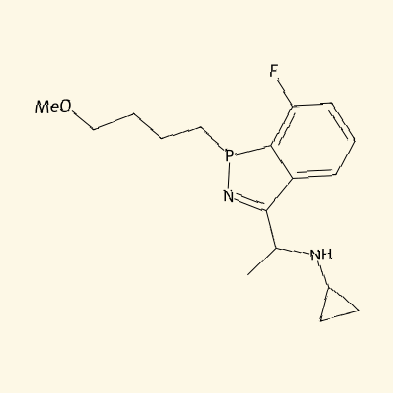 COCCCCp1nc(C(C)NC2CC2)c2cccc(F)c21